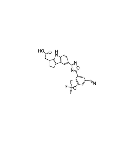 N#Cc1cc(OC(F)(F)F)cc(-c2nc(-c3ccc4[nH]c5c(c4c3)CC[C@H]5CC(=O)O)no2)c1